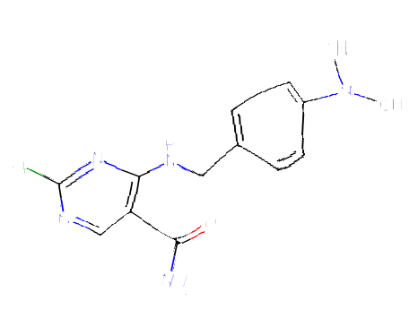 CN(C)c1ccc(CNc2nc(Cl)ncc2C(N)=O)cc1